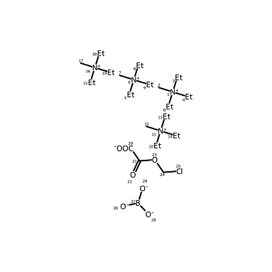 CC[N+](C)(CC)CC.CC[N+](C)(CC)CC.CC[N+](C)(CC)CC.CC[N+](C)(CC)CC.O=C([O-])C(=O)OCCl.[O-]B([O-])[O-]